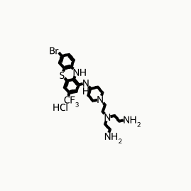 Cl.NCCN(CCN)CCN1CCC(Nc2cc(C(F)(F)F)cc3c2Nc2ccc(Br)cc2S3)CC1